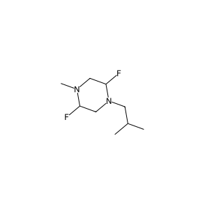 CC(C)CN1CC(F)N(C)CC1F